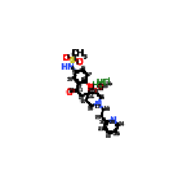 CS(=O)(=O)Nc1ccc2c(c1)C(=O)CC1(CCN(CCc3ccccn3)CC1)O2.Cl.Cl.O